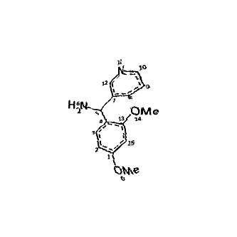 COc1ccc(C(N)c2cccnc2)c(OC)c1